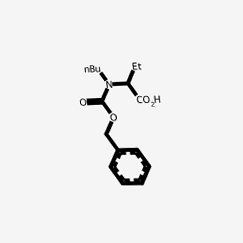 CCCCN(C(=O)OCc1ccccc1)C(CC)C(=O)O